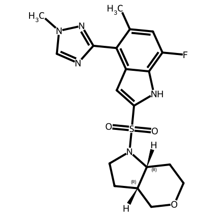 Cc1cc(F)c2[nH]c(S(=O)(=O)N3CC[C@H]4COCC[C@H]43)cc2c1-c1ncn(C)n1